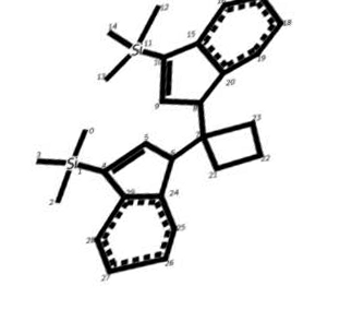 C[Si](C)(C)C1=CC(C2(C3C=C([Si](C)(C)C)c4ccccc43)CCC2)c2ccccc21